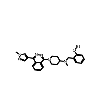 CCOc1ccccc1CN(C)C1CCN(c2nnc(-c3cnn(C)c3)c3ccccc23)CC1